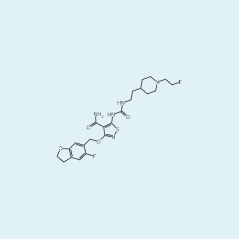 NC(=O)c1c(OCc2cc3c(cc2F)CCO3)nsc1NC(=O)NCCC1CCN(CCF)CC1